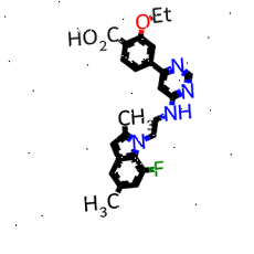 CCOc1cc(-c2cc(NCCn3c(C)cc4cc(C)cc(F)c43)ncn2)ccc1C(=O)O